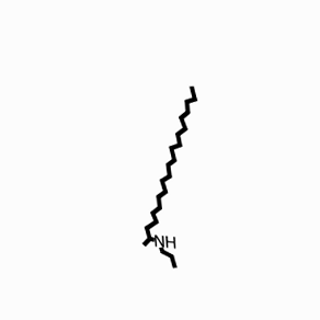 CCCCCCCCCCCCCCCCCCCC(C)NCCC